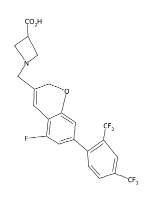 O=C(O)C1CN(CC2=Cc3c(F)cc(-c4ccc(C(F)(F)F)cc4C(F)(F)F)cc3OC2)C1